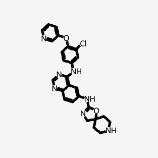 Clc1cc(Nc2ncnc3ccc(NC4=NCC5(CCNCC5)O4)cc23)ccc1Oc1cccnc1